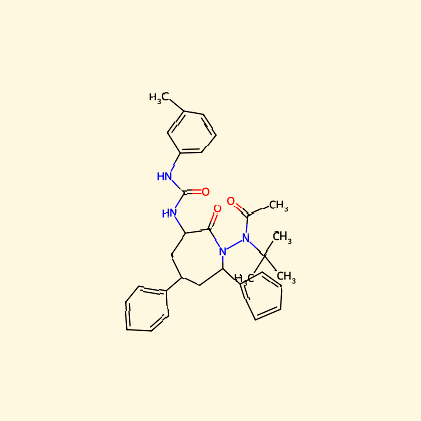 CC(=O)N(N1C(=O)C(NC(=O)Nc2cccc(C)c2)CC(c2ccccc2)CC1c1ccccc1)C(C)(C)C